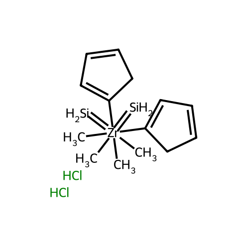 Cl.Cl.[CH3][Zr]([CH3])([CH3])([CH3])(=[SiH2])(=[SiH2])([C]1=CC=CC1)[C]1=CC=CC1